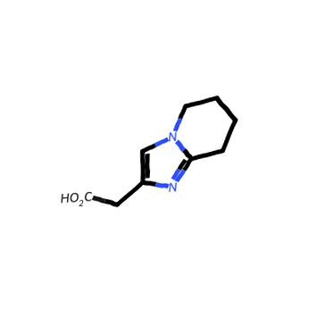 O=C(O)Cc1cn2c(n1)CCCC2